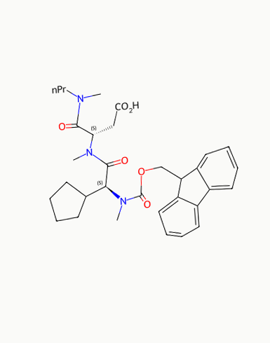 CCCN(C)C(=O)[C@H](CC(=O)O)N(C)C(=O)[C@H](C1CCCC1)N(C)C(=O)OCC1c2ccccc2-c2ccccc21